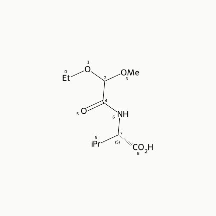 CCOC(OC)C(=O)N[C@H](C(=O)O)C(C)C